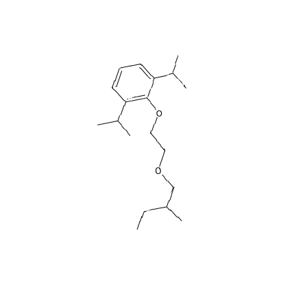 CCC(C)COCCOc1c(C(C)C)cccc1C(C)C